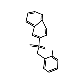 O=S(=O)(Cc1ccccc1Cl)c1ccc2ccccc2c1